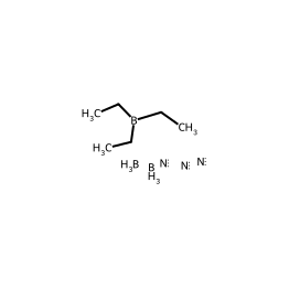 B.B.CCB(CC)CC.[N].[N].[N]